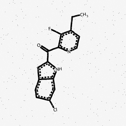 CCc1ccnc(C(=O)c2[c]c3ccc(Cl)cc3[nH]2)c1F